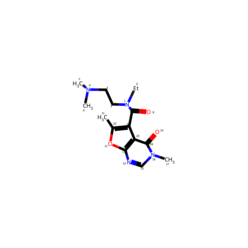 CCN(CCN(C)C)C(=O)c1c(C)oc2ncn(C)c(=O)c12